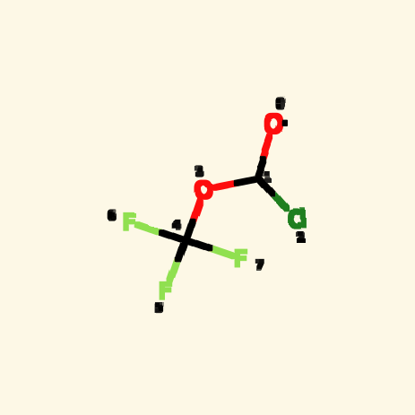 [O]C(Cl)OC(F)(F)F